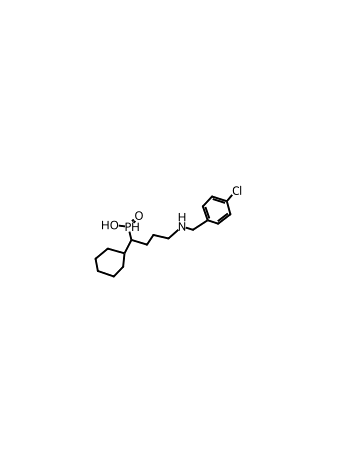 O=[PH](O)C(CCCNCc1ccc(Cl)cc1)C1CCCCC1